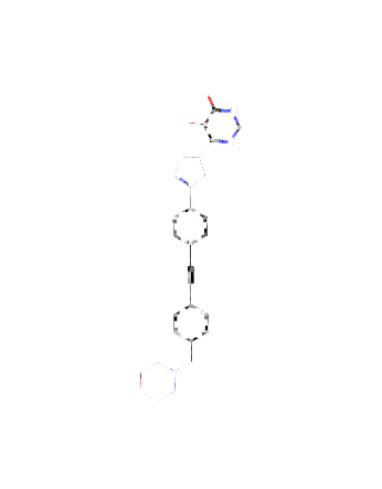 O=c1[nH]cnc(C2CC(c3ccc(C#Cc4ccc(CN5CCOCC5)cc4)cc3)=NO2)c1O